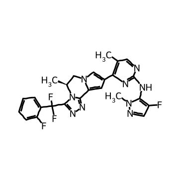 Cc1cnc(Nc2c(F)cnn2C)nc1-c1cc2n(c1)C[C@H](C)n1c-2nnc1C(F)(F)c1ccccc1F